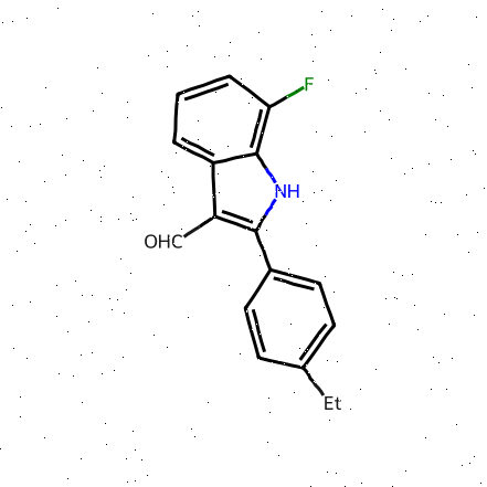 CCc1ccc(-c2[nH]c3c(F)cccc3c2C=O)cc1